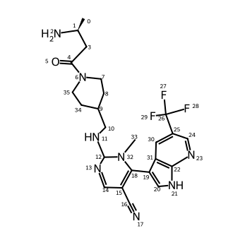 C[C@H](N)CC(=O)N1CCC(CNC2N=CC(C#N)=C(c3c[nH]c4ncc(C(F)(F)F)cc34)N2C)CC1